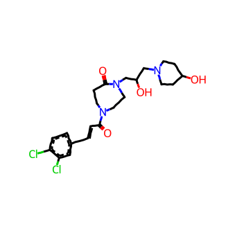 O=C(/C=C/c1ccc(Cl)c(Cl)c1)N1CCC(=O)N(CC(O)CN2CCC(O)CC2)CC1